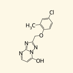 Cc1cc(Cl)ccc1OCc1nc2nccc(O)n2n1